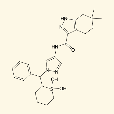 CC1(C)CCc2c(C(=O)Nc3cnn(C(c4ccccc4)C4CCCCS4(O)O)c3)n[nH]c2C1